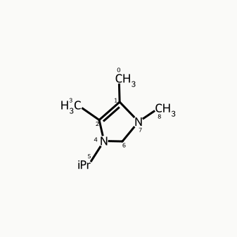 CC1=C(C)N(C(C)C)CN1C